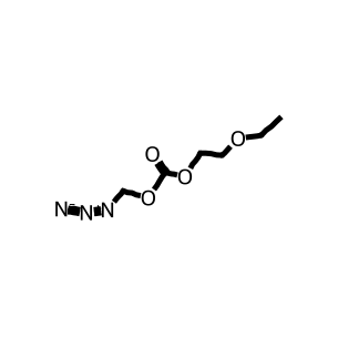 CCOCCOC(=O)OCN=[N+]=[N-]